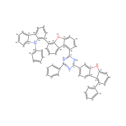 c1ccc(-c2nc(-c3ccc4c(c3)oc3cccc(-c5ccccc5)c34)nc(-c3cccc4oc5c(-c6cccc7c8ccccc8n(-c8ccccc8)c67)cccc5c34)n2)cc1